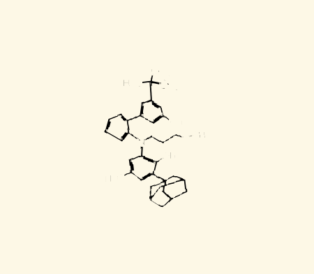 COCCCN(c1ccccc1-c1cc(C)cc(C(C)(C)C)c1)c1cc(C)cc(C23CC4CC(CC(C4)C2)C3)c1O